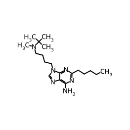 CCCCCc1nc(N)c2ncn(CCCCN(C)C(C)(C)C)c2n1